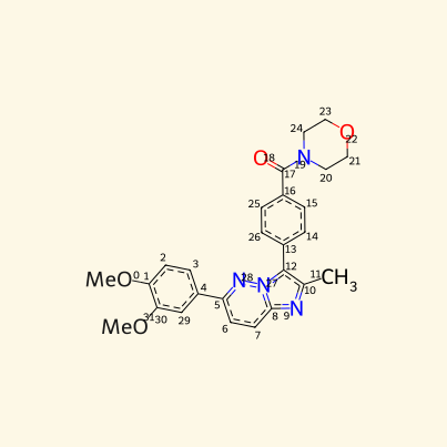 COc1ccc(-c2ccc3nc(C)c(-c4ccc(C(=O)N5CCOCC5)cc4)n3n2)cc1OC